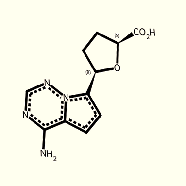 Nc1ncnn2c([C@H]3CC[C@@H](C(=O)O)O3)ccc12